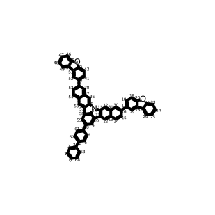 c1ccc(-c2ccc(-c3cc4c5cc6ccc(-c7ccc8oc9ccccc9c8c7)cc6cc5n5c6cc7cc(-c8ccc9oc%10ccccc%10c9c8)ccc7cc6c(c3)c45)cc2)cc1